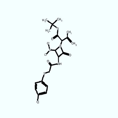 C=C(C)C(C(=O)OC(C)(C)C)N1C(=O)C(NC(=O)CSc2ccc(Cl)cc2)C1[S+]([O-])Cl